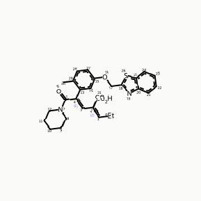 CC/C=C(/C=C(/C(=O)N1CCCCC1)c1cc(OCc2nc3ccccc3s2)ccc1C)C(=O)O